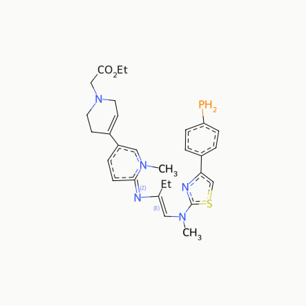 CCOC(=O)CN1CC=C(c2cc/c(=N/C(=C/N(C)c3nc(-c4ccc(P)cc4)cs3)CC)n(C)c2)CC1